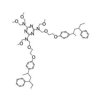 CCC(CC(C)c1ccc(OCCOCN(COC)c2nc(N(COC)COC)nc(N(COC)COCCOc3ccc(C(C)CC(CC)c4ccccc4)cc3)n2)cc1)c1ccccc1